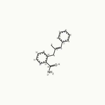 C/C(=C\c1ccccc1)Cc1ccccc1C(N)=O